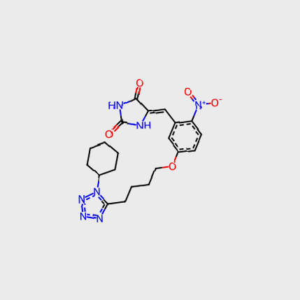 O=C1NC(=O)C(=Cc2cc(OCCCCc3nnnn3C3CCCCC3)ccc2[N+](=O)[O-])N1